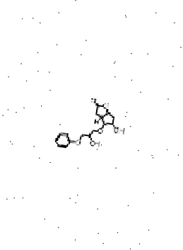 O=C1C[C@@H]2C(CC(O)C2OCC(O)COc2ccccc2)O1